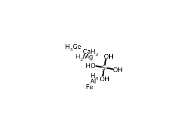 O[Si](O)(O)O.[AlH3].[CaH2].[Fe].[GeH4].[MgH2]